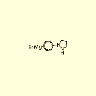 [Br][Mg][c]1ccc(N2CCCN2)cc1